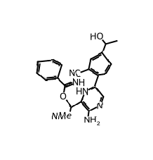 CNC(OC(=N)c1ccccc1)C1=C(N)N=CC(c2ccc(C(C)O)cc2C#N)N1